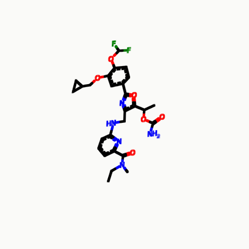 CCN(C)C(=O)c1cccc(NCc2nc(-c3ccc(OC(F)F)c(OCC4CC4)c3)oc2C(C)OC(N)=O)n1